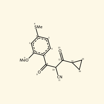 COc1cc(SC)ccc1C(=O)C(C#N)C(=O)C1CC1